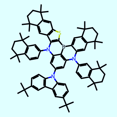 CC(C)(C)c1ccc2c(c1)c1cc(C(C)(C)C)ccc1n2-c1cc2c3c(c1)N(c1ccc4c(c1)C(C)(C)CCC4(C)C)c1c(sc4cc5c(cc14)C(C)(C)CCC5(C)C)B3c1cc3c(cc1N2c1ccc2c(c1)C(C)(C)CCC2(C)C)C(C)(C)CCC3(C)C